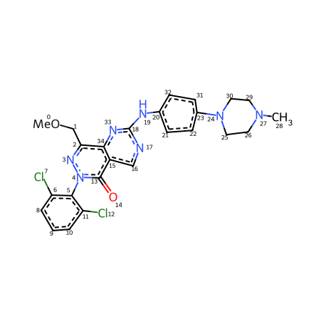 COCc1nn(-c2c(Cl)cccc2Cl)c(=O)c2cnc(Nc3ccc(N4CCN(C)CC4)cc3)nc12